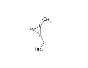 CC1[N]C1CO